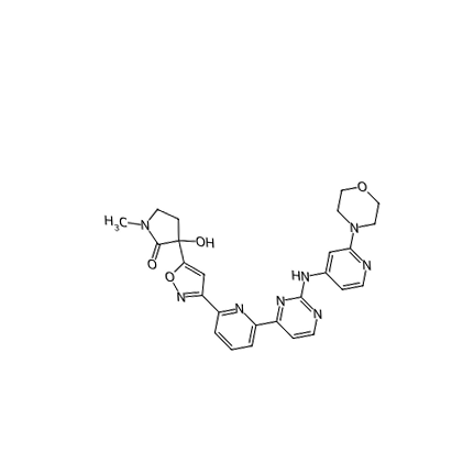 CN1CCC(O)(c2cc(-c3cccc(-c4ccnc(Nc5ccnc(N6CCOCC6)c5)n4)n3)no2)C1=O